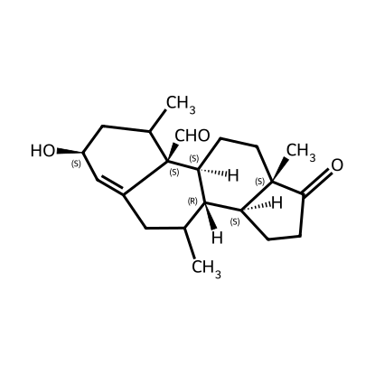 CC1CC2=C[C@@H](O)CC(C)[C@]2(C=O)[C@H]2CC[C@]3(C)C(=O)CC[C@H]3[C@H]12